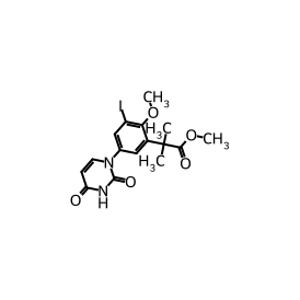 COC(=O)C(C)(C)c1cc(-n2ccc(=O)[nH]c2=O)cc(I)c1OC